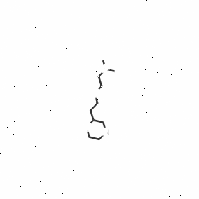 CN(C)CCOCCC1CNCCO1